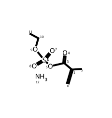 C=C(C)C(=O)OS(=O)(=O)OCC.N